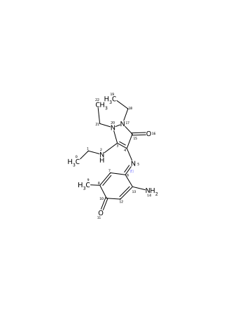 CCNc1c(/N=C2\C=C(C)C(=O)C=C2N)c(=O)n(CC)n1CC